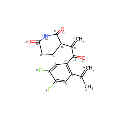 C=C(C)c1cc(F)c(F)cc1C(=O)C(=C)C1CCC(=O)NC1=O